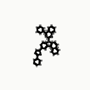 c1ccc(-c2ccc(-c3ccc4c(c3)c3c5ccccc5ccc3n4-c3nc(-c4ccccc4)c4ccccc4n3)s2)cc1